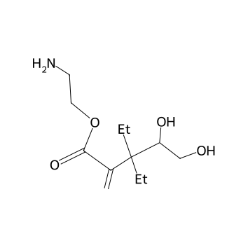 C=C(C(=O)OCCN)C(CC)(CC)C(O)CO